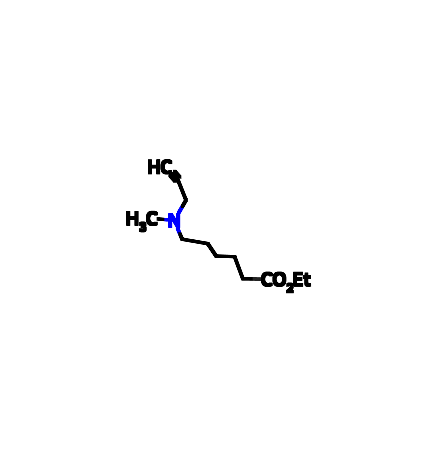 C#CCN(C)CCCCCC(=O)OCC